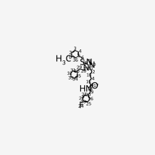 Cc1cccc(CSc2nnc(CCCCC(=O)NCc3ccc(F)cc3)n2CCC2=CCCC=C2)c1